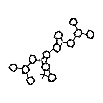 CC1(C)c2ccccc2-c2cc3c4cc(-c5ccc6c(c5)c5ccccc5n6-c5cccc(-c6cc(-c7ccccc7)cc(-c7ccccc7)c6)c5)ccc4n(-c4cccc(-c5cc(-c6ccccc6)cc(-c6ccccc6)c5)c4)c3cc21